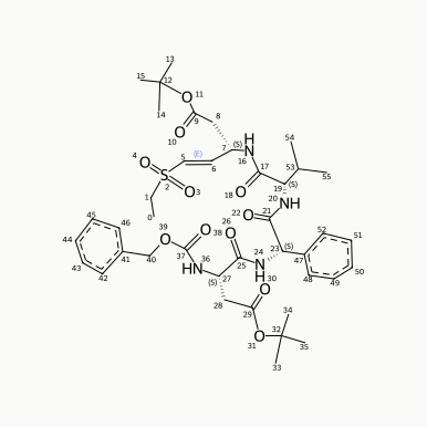 CCS(=O)(=O)/C=C/[C@H](CC(=O)OC(C)(C)C)NC(=O)[C@@H](NC(=O)[C@@H](NC(=O)[C@H](CC(=O)OC(C)(C)C)NC(=O)OCc1ccccc1)c1ccccc1)C(C)C